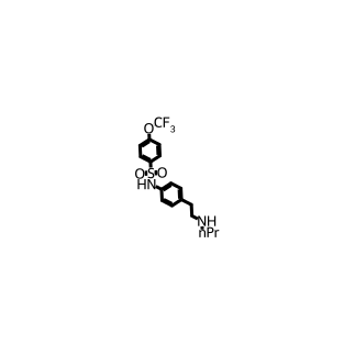 CCCNCCc1ccc(NS(=O)(=O)c2ccc(OC(F)(F)F)cc2)cc1